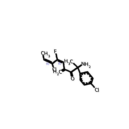 C=C(/C=C(F)\C(Cl)=C/C)C(=O)C(C)(N)c1ccc(Cl)cc1